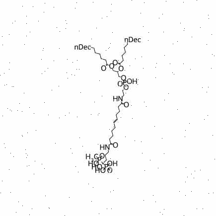 CCCCCCCCCCCCCCCC(=O)OCC(COP(=O)(O)OCCNC(=O)CCC/C=C/CCCCC(=O)NCCCC(O)(P(C)(=O)O)P(=O)(O)O)OC(=O)CCCCCCCCCCCCCCC